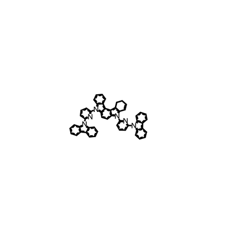 C1=Cc2c(c3c4c5ccccc5n(-c5cccc(-n6c7ccccc7c7ccccc76)n5)c4ccc3n2-c2cccc(-n3c4ccccc4c4ccccc43)n2)CC1